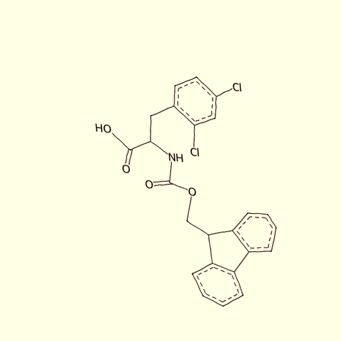 O=C(NC(Cc1ccc(Cl)cc1Cl)C(=O)O)OCC1c2ccccc2-c2ccccc21